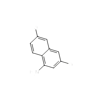 Nc1cc(Br)cc2cc(Br)ccc12